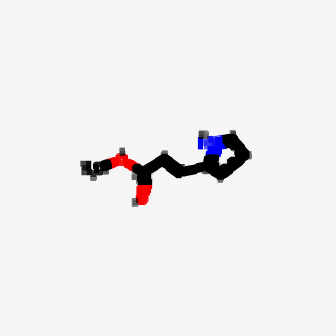 COC(=O)C=Cc1ccc[nH]1